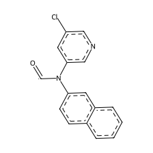 O=[C]N(c1cncc(Cl)c1)c1ccc2ccccc2c1